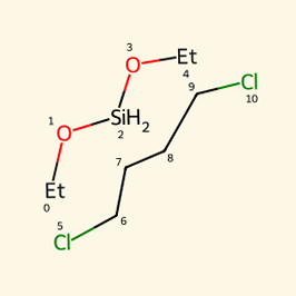 CCO[SiH2]OCC.ClCCCCCl